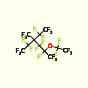 FC(F)(F)C(F)(F)OC(F)(C(F)(F)F)C(F)(F)C(C(F)(F)F)(C(F)(F)C(F)(F)F)C(F)(F)C(F)(F)F